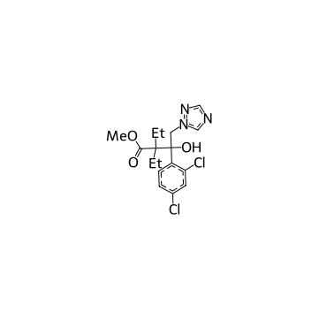 CCC(CC)(C(=O)OC)C(O)(Cn1cncn1)c1ccc(Cl)cc1Cl